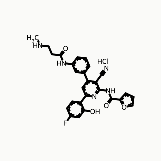 CNCCC(=O)Nc1cccc(-c2cc(-c3ccc(F)cc3O)nc(NC(=O)c3ccco3)c2C#N)c1.Cl